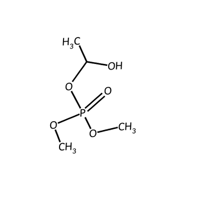 COP(=O)(OC)OC(C)O